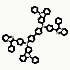 c1ccc(-c2c(-c3ccc(N(c4ccc(-c5ccc(N(c6ccc(-c7nc8ccccn8c7-c7ccccc7)cc6)c6ccc7c(c6)c6ccccc6n7-c6ccccc6)cc5)cc4)c4ccc5c(c4)c4ccccc4n5-c4ccccc4)cc3)nc3ccccn23)cc1